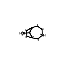 NC1C2CCNCC1CC2